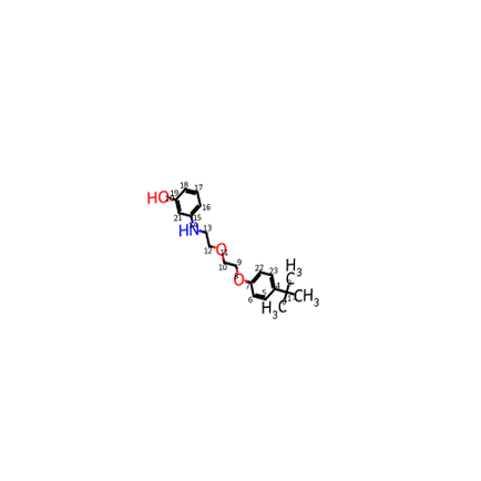 CC(C)(C)c1ccc(OCCOCCNc2cccc(O)c2)cc1